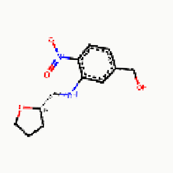 O=[N+]([O-])c1ccc(CO)cc1NC[C@@H]1CCCO1